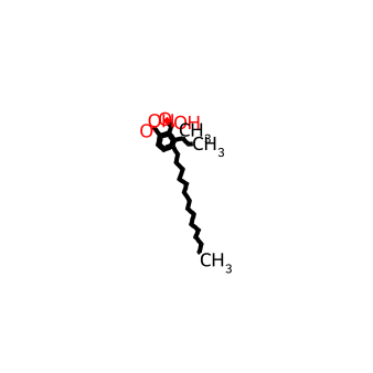 CCCCCCCCCCCCCCCc1ccc(C(=O)O)c(C(=O)O)c1C(C)CC